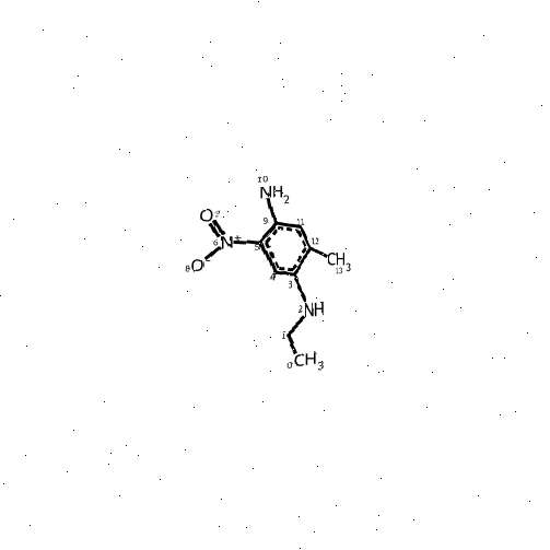 CCNc1cc([N+](=O)[O-])c(N)cc1C